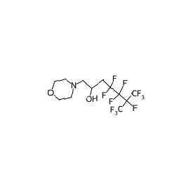 OC(CN1CCOCC1)CC(F)(F)C(F)(F)C(F)(C(F)(F)F)C(F)(F)F